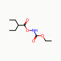 CCOC(=O)NOC(=O)C(CC)CC